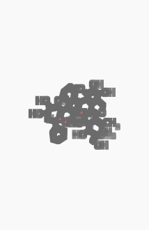 C/C=C\c1c(C)c(-c2c(O)c(O)c(O)c3c2C(/C(O)=C/O)=C(C(=C(C)C)/C(O)=C(O)\C(O)=C\O)OC3)c2ccccc2c1C1=C(O)C(c2ccccc2)C=C(O)C(O)=C1O